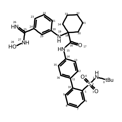 CC(C)(C)NS(=O)(=O)c1ccccc1-c1ccc(NC(=O)C2(Nc3cccc(C(=N)NO)c3)CCCCC2)cc1